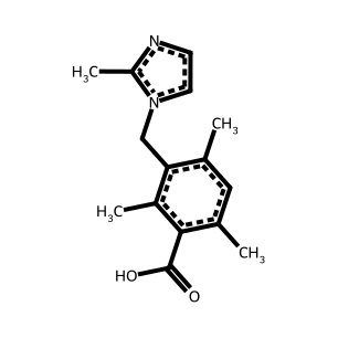 Cc1cc(C)c(C(=O)O)c(C)c1Cn1ccnc1C